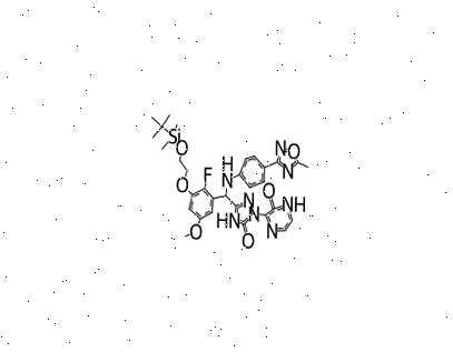 COc1cc(OCCO[Si](C)(C)C(C)(C)C)c(F)c(C(Nc2ccc(-c3noc(C)n3)cc2)c2nn(-c3ncc[nH]c3=O)c(=O)[nH]2)c1